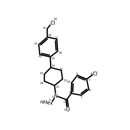 CCCCCCN(C(=O)c1ccc(Cl)cc1)C1CCC(c2ccc(CCl)cc2)CC1